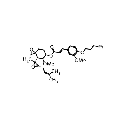 COc1cc(/C=C/C(=O)O[C@@H]2CC[C@]3(CO3)[C@@H](C3(C)O[C@H]3CC=C(C)C)[C@@H]2OC)ccc1OCCCC(C)C